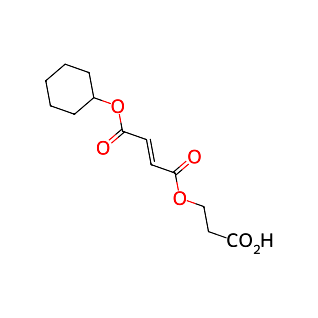 O=C(O)CCOC(=O)/C=C/C(=O)OC1CCCCC1